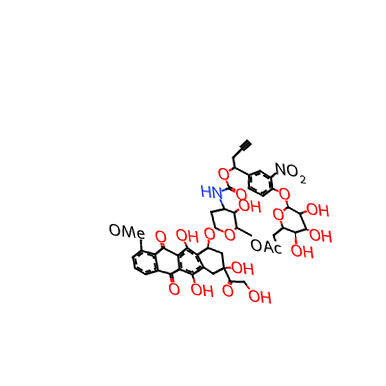 C#CCC(OC(=O)NC1CC(O[C@H]2C[C@](O)(C(=O)CO)Cc3c(O)c4c(c(O)c32)C(=O)c2c(OC)cccc2C4=O)OC(C)C1O)c1ccc(O[C@@H]2OC(COC(C)=O)[C@H](O)[C@H](O)C2O)c([N+](=O)[O-])c1